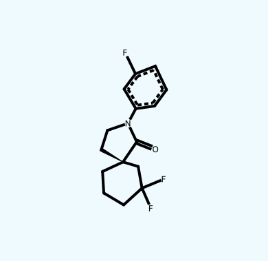 O=C1N(c2cccc(F)c2)CC[C@@]12CCCC(F)(F)C2